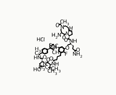 CC(=O)N1CC[C@H]2CC[C@@H](C(=O)N[C@@H](CCC(N)=O)COc3cc(C)cc(CCCC(=O)N[C@H](C(=O)N4C[C@H](O)C[C@H]4C(=O)N[C@@H](C)c4ccc(-c5scnc5C)cc4)C(C)(C)C)c3F)N2C(=O)[C@@H](N)C1.Cl